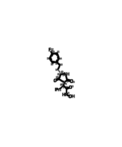 CC(C)[C@H](C(=O)NO)N1C(=O)N[C@@H](CCc2ccc(F)cc2)C1=O